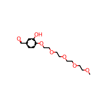 COCCOCCOCCOCCOc1ccc(C=O)cc1O